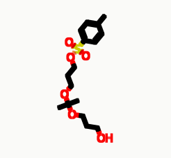 Cc1ccc(S(=O)(=O)OCCCOC(C)(C)OCCCO)cc1